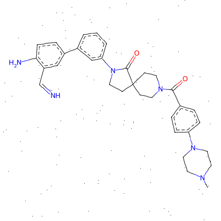 CN1CCN(c2ccc(C(=O)N3CCC4(CC3)CCN(c3cccc(-c5ccc(N)c(C=N)c5)c3)C4=O)cc2)CC1